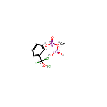 ClOC(Cl)(Cl)c1ccccc1.O=[PH]([O-])O[PH](=O)[O-].[Ca+2]